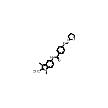 Cc1c(C=O)n(C)c2ccc(NC(=O)c3ccc(OC[C@@H]4CCCO4)cc3)cc12